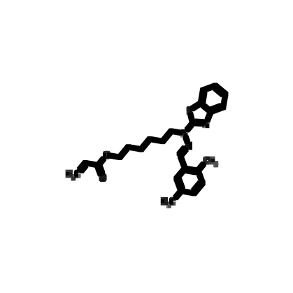 C=CC(=O)OCCCCCCN(/N=C/c1cc(C)ccc1C)c1nc2ccccc2s1